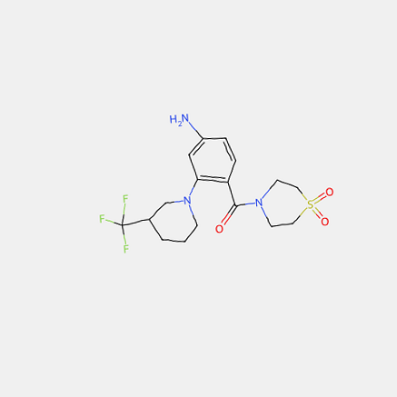 Nc1ccc(C(=O)N2CCS(=O)(=O)CC2)c(N2CCCC(C(F)(F)F)C2)c1